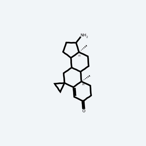 C[C@]12CCC3C(CC4(CC4)C4=CC(=O)CC[C@@]43C)C1CCC2N